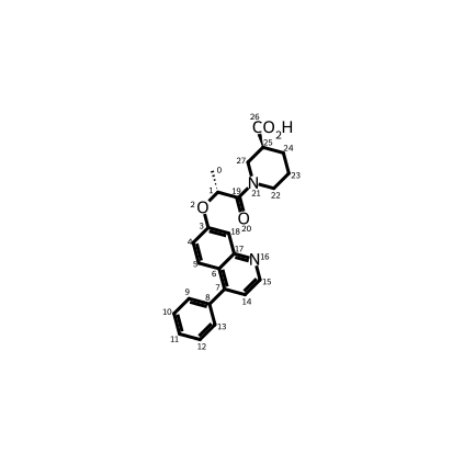 C[C@@H](Oc1ccc2c(-c3ccccc3)ccnc2c1)C(=O)N1CCC[C@H](C(=O)O)C1